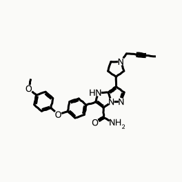 CC#CCN1CCC(c2cnn3c(C(N)=O)c(-c4ccc(Oc5ccc(OC)cc5)cc4)[nH]c23)C1